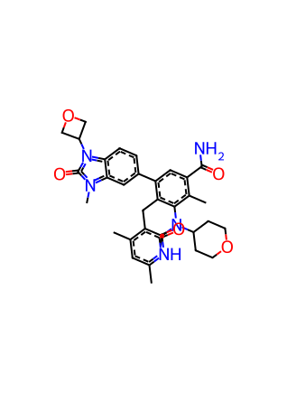 CCN(c1c(C)c(C(N)=O)cc(-c2ccc3c(c2)n(C)c(=O)n3C2COC2)c1Cc1c(C)cc(C)[nH]c1=O)C1CCOCC1